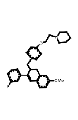 COc1ccc2c(c1)CC(Cc1ccc(OCCN3CCCCC3)cc1)C(c1cccc(F)c1)=C2